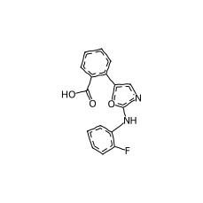 O=C(O)c1ccccc1-c1cnc(Nc2ccccc2F)o1